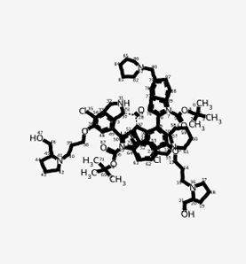 CC(C)(C)OC(=O)n1c(-c2cc(OCCCN3CCCC3CO)c(Cl)c3c2[C@@H](C(=O)[C@H]2NCc4c(Cl)c(OCCCN5CCCC5CO)cc(-c5cc6cc(CN7CCCCC7)ccc6n5C(=O)OC(C)(C)C)c42)NC3)cc2cc(CN3CCCCC3)ccc21